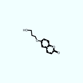 O=c1ccc2cc(OCCCO)ccc2o1